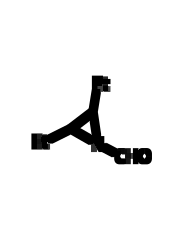 CCC1C(CC)N1C=O